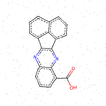 O=C(O)c1cccc2nc3c(nc12)-c1cccc2cccc-3c12